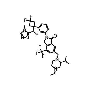 CCN1CCN(Cc2cc3c(c(C(F)(F)F)c2)CN(c2cccc(C4([C@@H](F)c5nncn5C)CC(F)(F)C4)c2)C3=O)[C@@H](C(C)C)C1